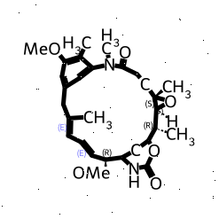 COc1cc2cc(c1C)N(C)C(=O)CC[C@]1(C)O[C@H]1[C@H](C)C1CC(NC(=O)O1)[C@H](OC)/C=C/C=C(\C)C2